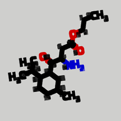 CCCOC(=O)CC(N)C(=O)C1CC(C)CCC1C(C)C